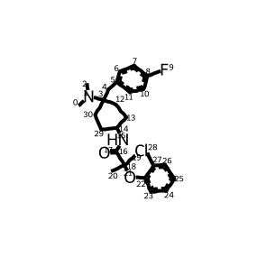 CN(C)C1(Cc2ccc(F)cc2)CCC(NC(=O)C(C)(C)Oc2ccccc2Cl)CC1